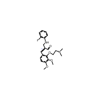 COc1ccc(/C=C(\C=O)CNc2ccccc2F)c(OCCN(C)C)c1OC